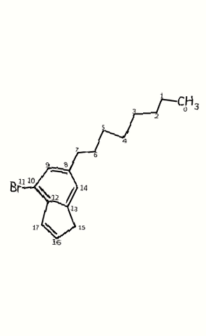 CCCCCCCCc1cc(Br)c2c(c1)CC=C2